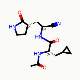 CC(=O)N[C@@H](CC1CC1)C(=O)N[C@H](C#N)C[C@@H]1CCNC1=O